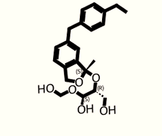 CCc1ccc(Cc2ccc3c(c2)[C@](C)(O[C@H](CO)[C@@H](O)OCO)OC3)cc1